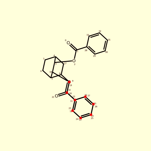 O=C(OC1C2CCC(C(/C=C/c3ccccc3)C2)C1OC(=O)c1ccccc1)c1ccccc1